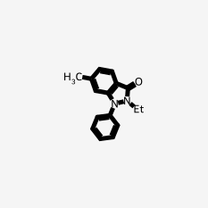 CCn1c(=O)c2ccc(C)cc2n1-c1ccccc1